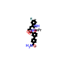 CCCOc1ccc(-c2ccc(C(N)=O)cc2)cc1C(=O)NC(CO)Cc1c[nH]c2ccc(F)cc12